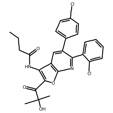 CCCC(=O)Nc1c(C(=O)C(C)(C)O)oc2nc(-c3ccccc3Cl)c(-c3ccc(Cl)cc3)cc12